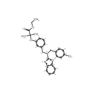 CCOC(=O)C(C)(C)Oc1cccc(CN(Cc2ccc(Cl)cc2)c2nc3ccccc3o2)c1